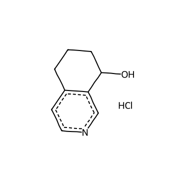 Cl.OC1CCCc2ccncc21